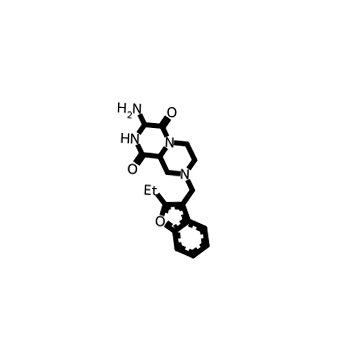 CCc1oc2ccccc2c1CN1CCN2C(=O)C(N)NC(=O)C2C1